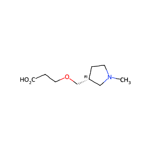 CN1CC[C@@H](COCCC(=O)O)C1